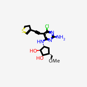 COC[C@H]1C[C@@H](Nc2nc(N)nc(Cl)c2C#CC2=CSCC2)[C@H](O)[C@@H]1O